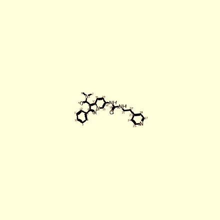 CN(C)C(=O)c1c(-c2ccccc2)nn2cc(NC(=O)NCCc3ccncc3)ccc12